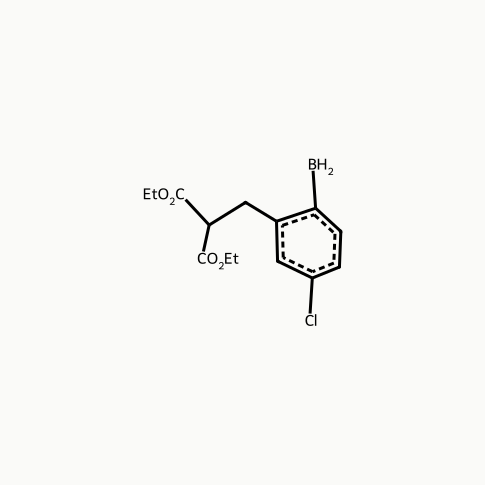 Bc1ccc(Cl)cc1CC(C(=O)OCC)C(=O)OCC